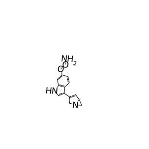 NOOc1ccc2c(C3=CC4CN4C3)c[nH]c2c1